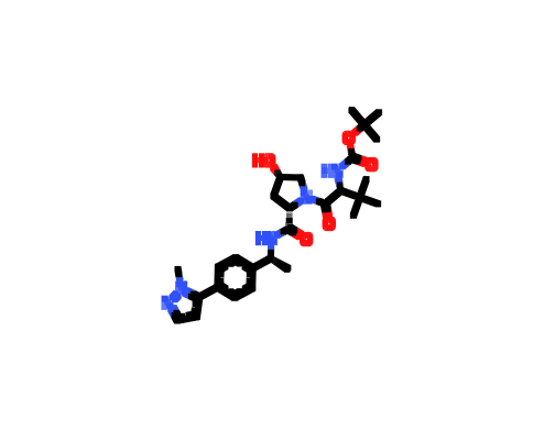 C[C@H](NC(=O)[C@@H]1C[C@@H](O)CN1C(=O)[C@@H](NC(=O)OC(C)(C)C)C(C)(C)C)c1ccc(-c2ccnn2C)cc1